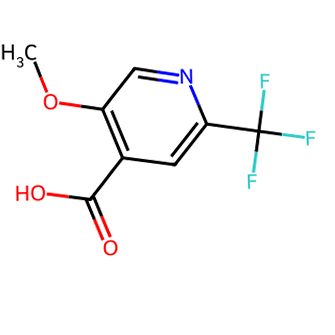 COc1cnc(C(F)(F)F)cc1C(=O)O